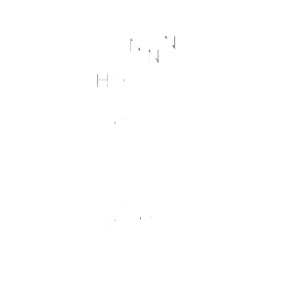 O=C(OCc1ccccc1)c1ccc(OC[C@H](O)Cn2nccn2)cc1